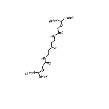 CCCCCCCC(CCCCCC)OCC(=O)NCCN(F)CCNC(=O)COC(CCCCCC)CCCCCCC